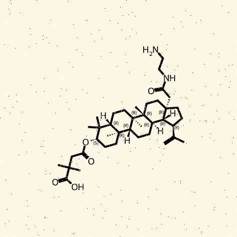 C=C(C)[C@@H]1CC[C@]2(CC(=O)NCCN)CC[C@]3(C)[C@H](CC[C@@H]4[C@@]5(C)CC[C@H](OC(=O)CC(C)(C)C(=O)O)C(C)(C)[C@@H]5CC[C@]43C)[C@@H]12